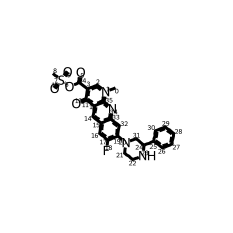 Cn1cc(C(=O)OS(C)(=O)=O)c(=O)c2cc3cc(F)c(N4CCNC(c5ccccc5)C4)cc3nc21